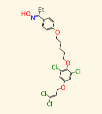 CCC(=NO)c1ccc(OCCCCCOc2c(Cl)cc(OCC=C(Cl)Cl)cc2Cl)cc1